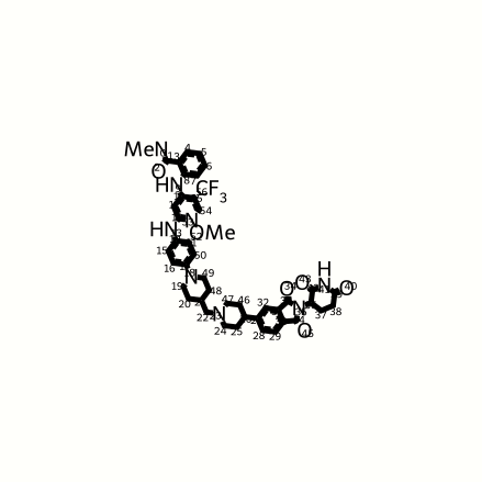 CNC(=O)c1ccccc1Nc1cc(Nc2ccc(N3CCC(CN4CCC(c5ccc6c(c5)C(=O)N(C5CCC(=O)NC5=O)C6=O)CC4)CC3)cc2OC)ncc1C(F)(F)F